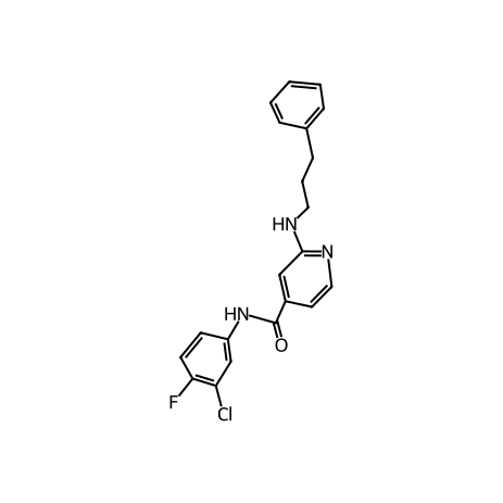 O=C(Nc1ccc(F)c(Cl)c1)c1ccnc(NCCCc2ccccc2)c1